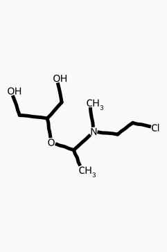 CC(OC(CO)CO)N(C)CCCl